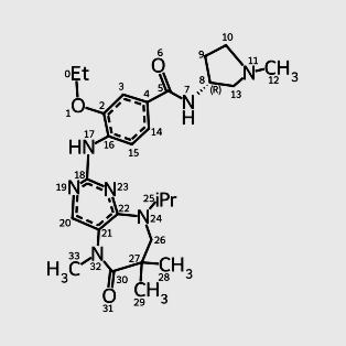 CCOc1cc(C(=O)N[C@@H]2CCN(C)C2)ccc1Nc1ncc2c(n1)N(C(C)C)CC(C)(C)C(=O)N2C